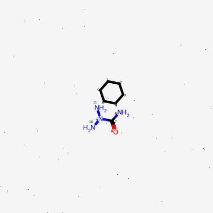 C1CCCCC1.NC(=O)N(N)N